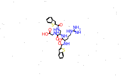 N=C(N)NCCCC(NC(=O)c1cc2ccccc2s1)C(=O)NC(CNC(=O)c1cc2ccccc2s1)C(=O)NCC(=O)O